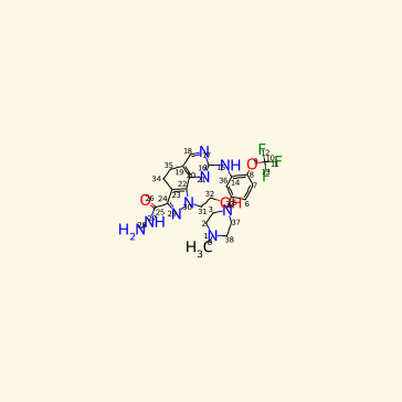 CN1CCN(c2ccc(OC(F)(F)F)c(Nc3ncc4c(n3)-c3c(c(C(=O)NN)nn3CCO)CC4)c2)CC1